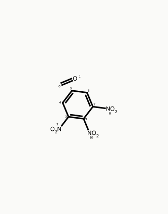 C=O.O=[N+]([O-])c1cccc([N+](=O)[O-])c1[N+](=O)[O-]